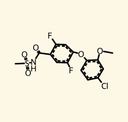 COc1cc(Cl)ccc1Oc1cc(F)c(C(=O)NS(C)(=O)=O)cc1F